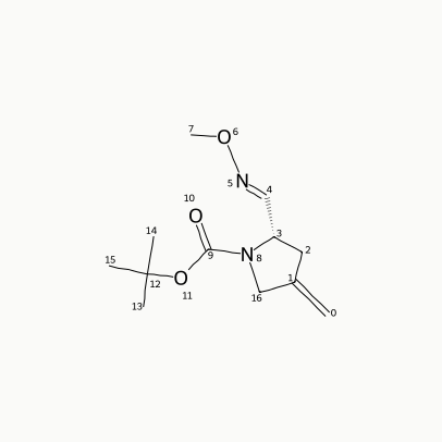 C=C1C[C@@H](/C=N/OC)N(C(=O)OC(C)(C)C)C1